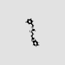 O=C(NCCc1nc2cnccc2s1)OCc1ccccc1